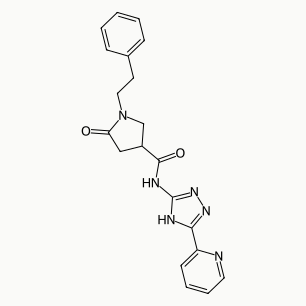 O=C(Nc1nnc(-c2ccccn2)[nH]1)C1CC(=O)N(CCc2ccccc2)C1